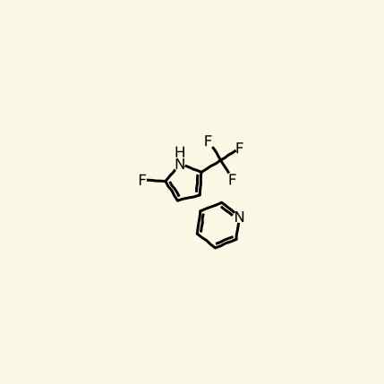 Fc1ccc(C(F)(F)F)[nH]1.c1ccncc1